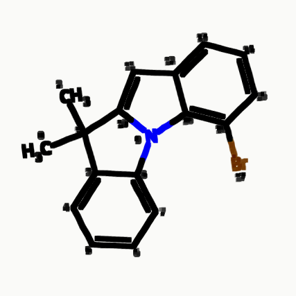 CC1(C)c2ccccc2-n2c1cc1cccc(Br)c12